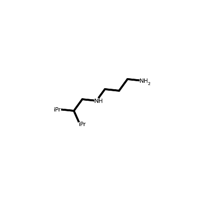 CC(C)C(CNCCCN)C(C)C